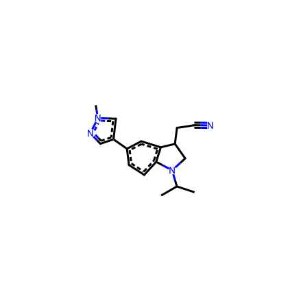 CC(C)N1CC(CC#N)c2cc(-c3cnn(C)c3)ccc21